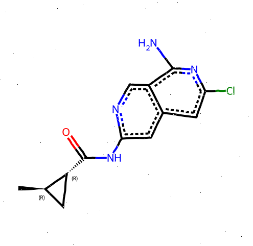 C[C@@H]1C[C@H]1C(=O)Nc1cc2cc(Cl)nc(N)c2cn1